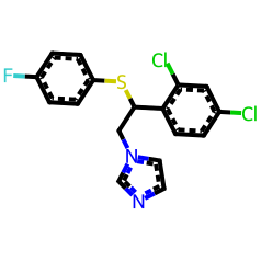 Fc1ccc(SC(Cn2ccnc2)c2ccc(Cl)cc2Cl)cc1